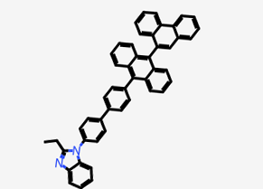 CCc1nc2ccccc2n1-c1ccc(-c2ccc(-c3c4ccccc4c(-c4cc5ccccc5c5ccccc45)c4ccccc34)cc2)cc1